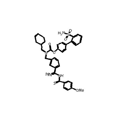 COc1ccc(C(=S)NC(=N)c2cccc(CN(CC3CCCCC3)C(=O)Oc3ccc(-c4ccccc4S(N)(=O)=O)cc3)c2)cc1